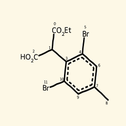 CCOC(=O)C(C(=O)O)c1c(Br)cc(C)cc1Br